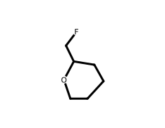 FCC1CCCCO1